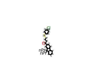 CCCC1(CCC)c2ccccc2-c2ccc(C(=O)CCCSc3ccc(Cl)cc3)cc21